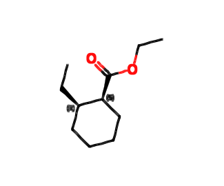 CCOC(=O)[C@H]1CCCC[C@H]1CC